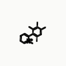 Cc1cc(C)c(-c2cccc[n+]2C)c(C)c1C